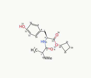 CNC(C)C(=O)N[C@@H](Cc1ccc(O)cc1)C(=O)OC1CCC1